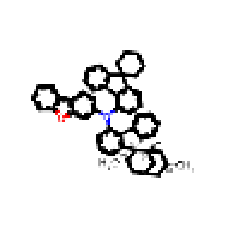 C[C@@H]1CC2C[C@@H](C1)[C@@]1(c3ccccc3-c3c(N(c4ccc5c(c4)oc4ccccc45)c4cccc5c4-c4ccccc4C54CCCCC4)cccc31)[C@@H](C)C2